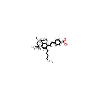 CCCCCc1cc2c(cc1C=Cc1ccc(C(=O)O)cc1)C(C)(C)CCC2(C)C